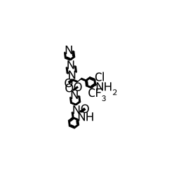 Nc1c(Cl)cc(C[C@@H](OC(=O)N2CCC(N3Cc4ccccc4NC3=O)CC2)C(=O)N2CCN(c3ccncc3)CC2)cc1C(F)(F)F